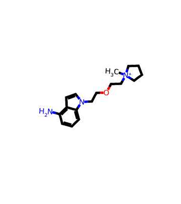 C[N+]1(CCOCCn2ccc3c(N)cccc32)CCCC1